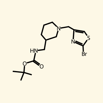 CC(C)(C)OC(=O)NCC1CCCN(Cc2csc(Br)n2)C1